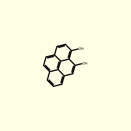 Oc1ccc2ccc3cccc4cc(O)c1c2c34